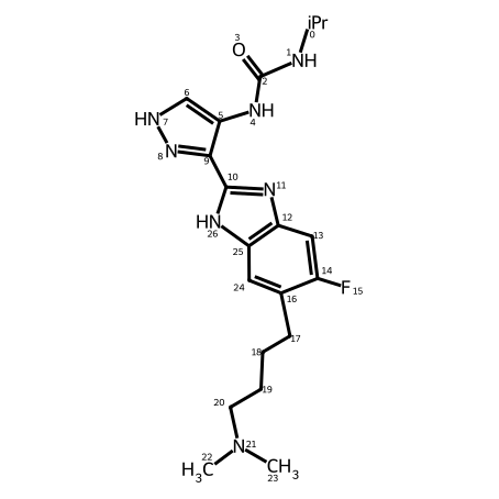 CC(C)NC(=O)Nc1c[nH]nc1-c1nc2cc(F)c(CCCCN(C)C)cc2[nH]1